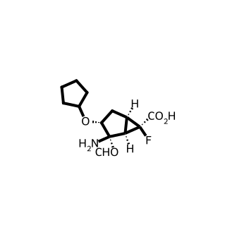 N[C@]1(C=O)[C@H]2[C@@H](C[C@H]1OC1CCCC1)[C@]2(F)C(=O)O